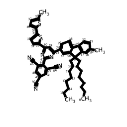 CCCCCCCCC1(CCCCCCCC)c2cc(C)ccc2-c2ccc(-c3cc(-c4ccc(-c5ccc(C)s5)s4)nc(-c4c(C#N)cc(C#N)cc4C#N)n3)cc21